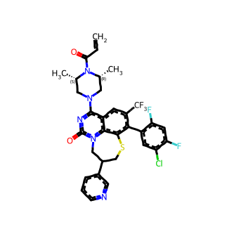 C=CC(=O)N1[C@H](C)CN(c2nc(=O)n3c4c(c(-c5cc(Cl)c(F)cc5F)c(C(F)(F)F)cc24)SCC(c2cccnc2)C3)C[C@@H]1C